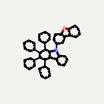 c1ccc(-c2c(-c3ccccc3)c(-c3ccccc3)c3c(c2-c2ccccc2)c2ccccc2n3-c2ccc3oc4ccccc4c3c2)cc1